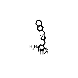 Nc1cc(Cc2cnn(Cc3ccc4c(c3)CCCC4)c2)c2nn[nH]c2n1